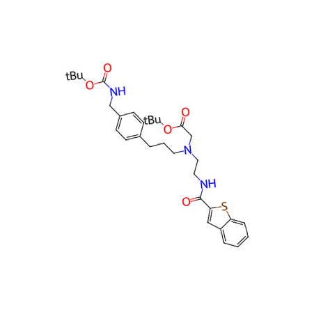 CC(C)(C)OC(=O)CN(CCCc1ccc(CNC(=O)OC(C)(C)C)cc1)CCNC(=O)c1cc2ccccc2s1